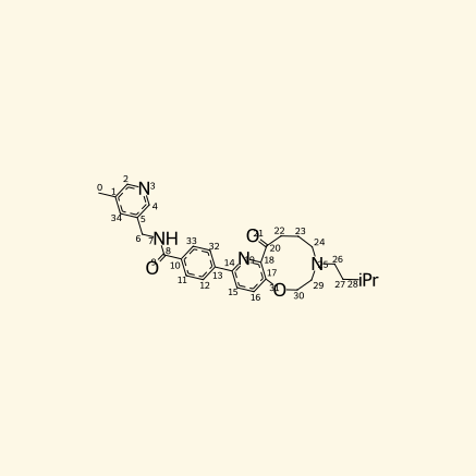 Cc1cncc(CNC(=O)c2ccc(-c3ccc4c(n3)C(=O)CCCN(CCC(C)C)CCO4)cc2)c1